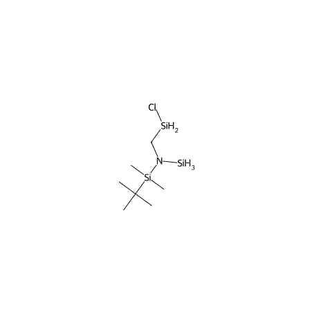 CC(C)(C)[Si](C)(C)N([SiH3])C[SiH2]Cl